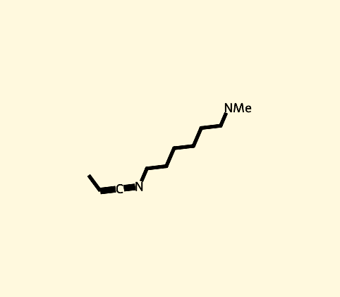 CC=C=NCCCCCCNC